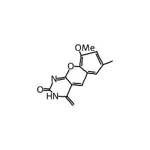 C=c1[nH]c(=O)nc2c1=Cc1cc(C)cc(OC)c1O2